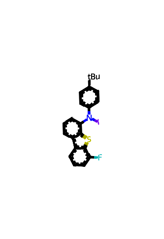 CC(C)(C)c1ccc(N(I)c2cccc3c2sc2c(F)cccc23)cc1